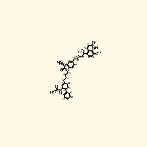 F.F.O=C(O)Nc1cc(CCCCn2c(=O)oc3cc(CCNCC(O)c4ccc(O)c5[nH]c(=O)ccc45)ccc32)ccc1-c1ccccc1